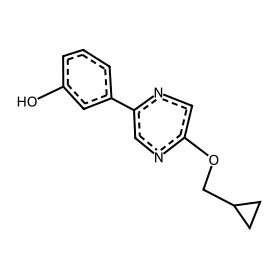 Oc1cccc(-c2cnc(OCC3CC3)cn2)c1